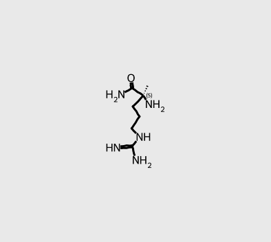 C[C@](N)(CCCNC(=N)N)C(N)=O